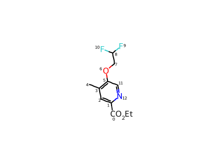 CCOC(=O)c1cc(C)c(OCC(F)F)cn1